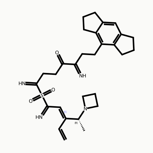 C=C/C(=C\C(=N)S(=O)(=O)C(=N)CCC(=O)C(=N)CCc1c2c(cc3c1CCC3)CCC2)[C@@H](C)N1CCC1